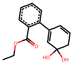 CCOC(=O)c1ccccc1C1=CC(O)(O)CC=C1